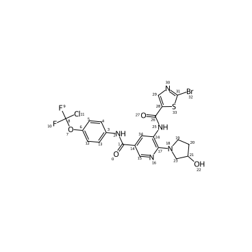 O=C(Nc1ccc(OC(F)(F)Cl)cc1)c1cnc(N2CCC(O)C2)c(NC(=O)c2cnc(Br)s2)c1